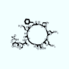 CC(C)C[C@@H]1NC(=O)[C@@H](Cc2ccccc2)NC(=O)[C@H](CCN)NC(=O)[C@@H](NC(=O)[C@@H](CO)NC(=O)[C@@H](NS(C)(=O)=O)[C@@H](C)O)CCNC(=O)[C@H]([C@@H](C)O)NC(=O)[C@H](CCN)NC(=O)[C@H](CCN)NC1=O